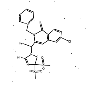 CC(C)C1=NC(S(C)(=O)=O)(S(C)(=O)=O)CN1C(c1cc2cc(Cl)ccc2c(=O)n1Cc1ccccc1)C(C)C